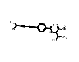 CC(O)C#CC#Cc1ccc(C(=O)NC(C(=O)NO)[C@@H](C)O)cc1